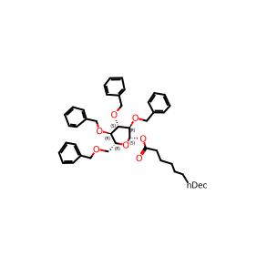 CCCCCCCCCCCCCCCC(=O)O[C@@H]1O[C@H](COCc2ccccc2)[C@@H](OCc2ccccc2)[C@H](OCc2ccccc2)[C@H]1OCc1ccccc1